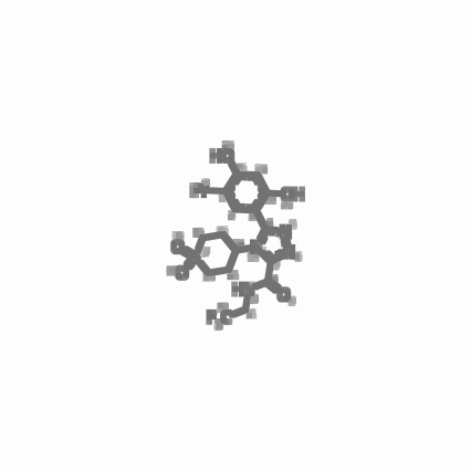 CC(C)c1cc(-c2nnc(C(=O)NCC(F)(F)F)n2C2CCS(=O)(=O)CC2)c(O)cc1O